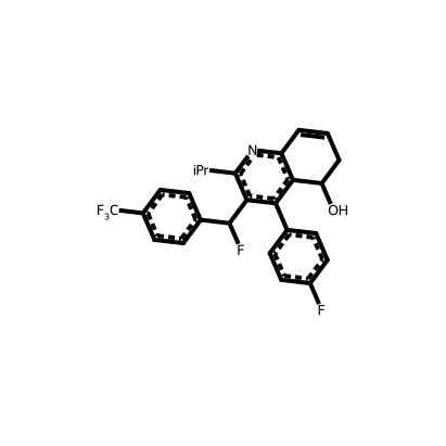 CC(C)c1nc2c(c(-c3ccc(F)cc3)c1C(F)c1ccc(C(F)(F)F)cc1)C(O)CC=C2